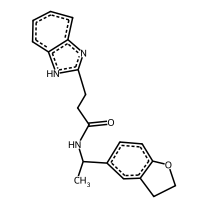 CC(NC(=O)CCc1nc2ccccc2[nH]1)c1ccc2c(c1)CCO2